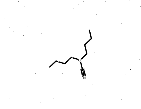 CCC[CH2][Cu]([C]#N)[CH2]CCC